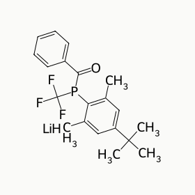 Cc1cc(C(C)(C)C)cc(C)c1P(C(=O)c1ccccc1)C(F)(F)F.[LiH]